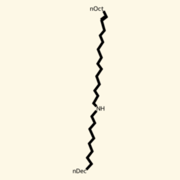 CCCCCCCCC=CCCCCCCCCCCCCNCCCCCCCCCCCCCCCCCC